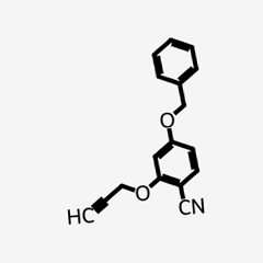 C#CCOc1cc(OCc2ccccc2)ccc1C#N